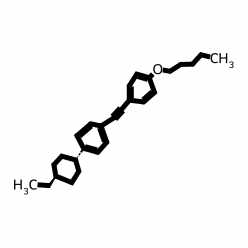 CCCCCOc1ccc(C#Cc2ccc([C@H]3CC[C@H](CC)CC3)cc2)cc1